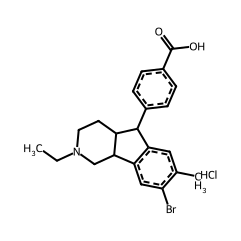 CCN1CCC2C(C1)c1cc(Br)c(C)cc1C2c1ccc(C(=O)O)cc1.Cl